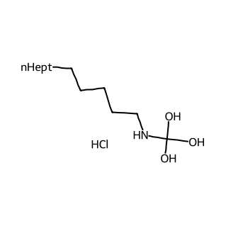 CCCCCCCCCCCCNC(O)(O)O.Cl